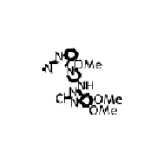 COc1cc2nc(Cl)nc(NC3CCN(Cc4c(OC)cccc4N(C)CCN(C)C)CC3)c2cc1OC